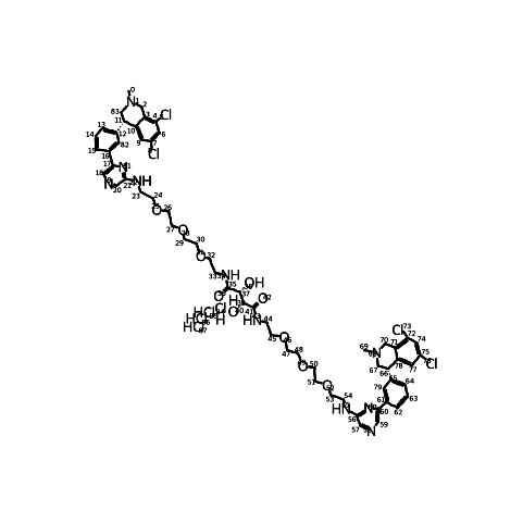 CN1Cc2c(Cl)cc(Cl)cc2[C@H](c2cccc(-c3cncc(NCCOCCOCCOCCNC(=O)[C@H](O)[C@@H](O)C(=O)NCCOCCOCCOCCNc4cncc(-c5cccc([C@@H]6CN(C)Cc7c(Cl)cc(Cl)cc76)c5)n4)n3)c2)C1.Cl.Cl.Cl.Cl